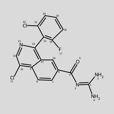 NC(N)=NC(=O)c1ccc2c(Cl)cnc(-c3c(F)cccc3Cl)c2c1